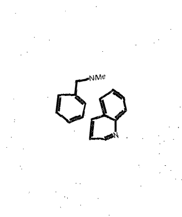 CNCc1ccccc1.c1ccc2ncccc2c1